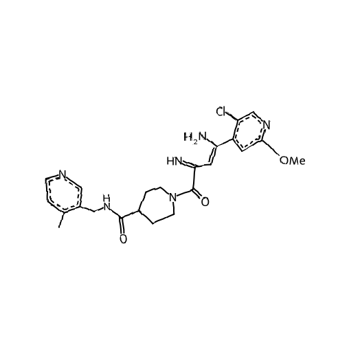 COc1cc(/C(N)=C/C(=N)C(=O)N2CCC(C(=O)NCc3cnccc3C)CC2)c(Cl)cn1